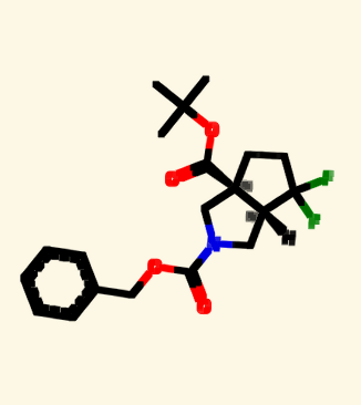 CC(C)(C)OC(=O)[C@@]12CCC(F)(F)[C@@H]1CN(C(=O)OCc1ccccc1)C2